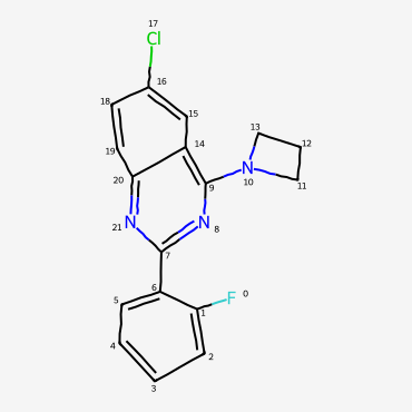 Fc1ccccc1-c1nc(N2CCC2)c2cc(Cl)ccc2n1